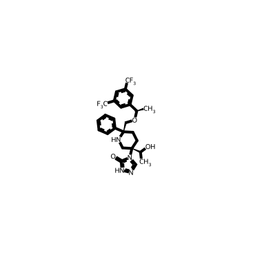 CC(O)[C@]1(n2cn[nH]c2=O)CC[C@@](CO[C@H](C)c2cc(C(F)(F)F)cc(C(F)(F)F)c2)(c2ccccc2)NC1